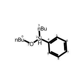 CCCCO[SiH](CCCC)c1ccccc1